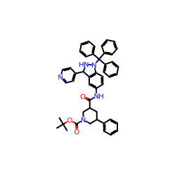 CC(C)(C)OC(=O)N1CC(C(=O)Nc2ccc3c(c2)C(c2ccncc2)NN3C(c2ccccc2)(c2ccccc2)c2ccccc2)CC(c2ccccc2)C1